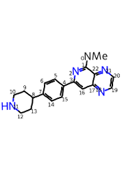 CNc1nc(-c2ccc(C3CCNCC3)cc2)cc2nccnc12